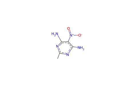 Cc1nc(N)c([N+](=O)[O-])c(N)n1